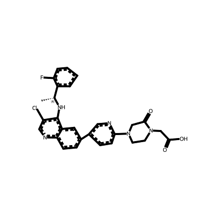 C[C@@H](Nc1c(Cl)cnc2ccc(-c3ccc(N4CCN(CC(=O)O)C(=O)C4)nc3)cc12)c1ccccc1F